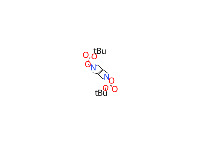 CC(C)(C)OC(=O)ON1CC2=C(C1)CN(OC(=O)OC(C)(C)C)C2